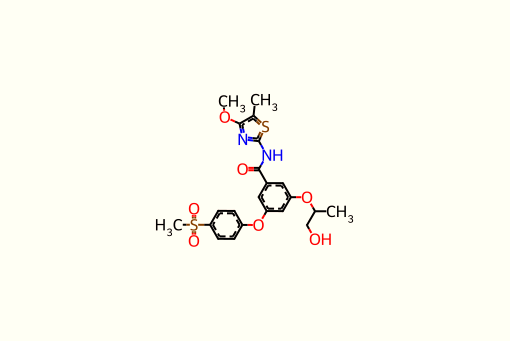 COc1nc(NC(=O)c2cc(Oc3ccc(S(C)(=O)=O)cc3)cc(OC(C)CO)c2)sc1C